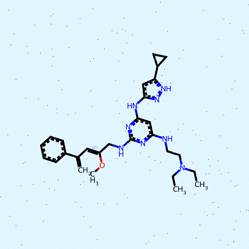 C=C(/C=C(/CNc1nc(NCCN(CC)CC)cc(Nc2cc(C3CC3)[nH]n2)n1)OC)c1ccccc1